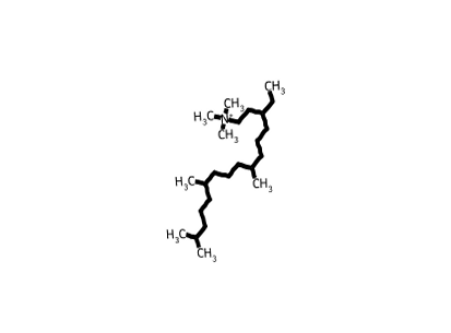 CCC(CCCC(C)CCCC(C)CCCC(C)C)CC[N+](C)(C)C